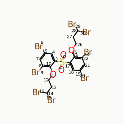 O=S(=O)(c1cc(Br)cc(Br)c1OCCC(Br)Br)c1cc(Br)cc(Br)c1OCCC(Br)Br